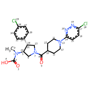 CN(C(=O)O)[C@@H]1CN(C(=O)C2CCN(c3ccc(Cl)nn3)CC2)C[C@H]1c1ccc(Cl)cc1